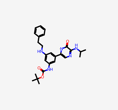 CC(C)NC1=NC=C(c2cc(NCCc3ccccc3)cc(NC(=O)OC(C)(C)C)c2)[N]C1=O